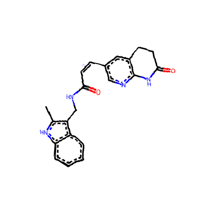 Cc1[nH]c2ccccc2c1CNC(=O)/C=C\c1cnc2c(c1)CCC(=O)N2